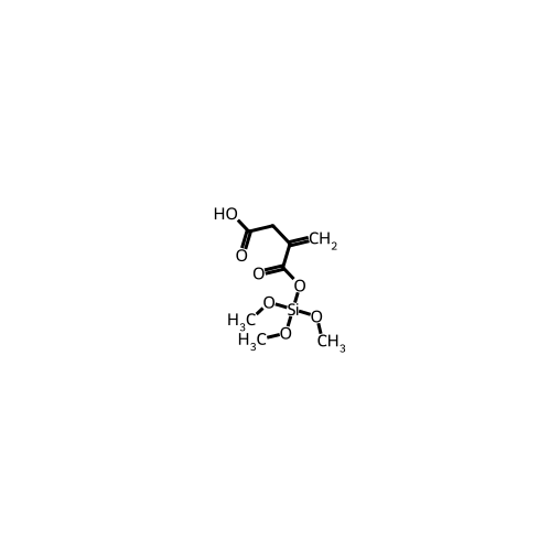 C=C(CC(=O)O)C(=O)O[Si](OC)(OC)OC